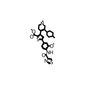 COC(=O)c1sc(-c2ccc(NC(=O)c3cscn3)c(OC)c2)cc1C1=C(C2CCC(C)CC2)CN(C)CC1